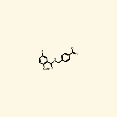 COc1ccc(F)cc1C(=O)NCc1ccc(C(=O)Cl)cc1